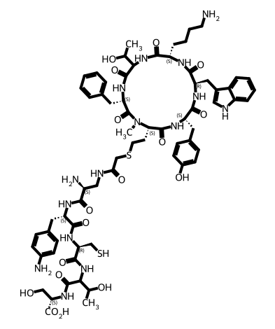 CC(O)C(NC(=O)[C@H](CS)NC(=O)[C@H](Cc1ccc(N)cc1)NC(=O)[C@@H](N)CNC(=O)CSCC[C@H]1C(=O)N[C@@H](Cc2ccc(O)cc2)C(=O)N[C@H](Cc2c[nH]c3ccccc23)C(=O)N[C@@H](CCCCN)C(=O)NC(C(C)O)C(=O)N[C@@H](Cc2ccccc2)C(=O)N1C)C(=O)N[C@@H](CO)C(=O)O